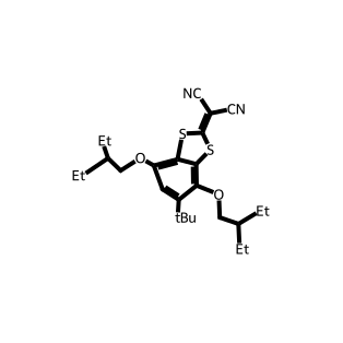 CCC(CC)COc1cc(C(C)(C)C)c(OCC(CC)CC)c2c1SC(=C(C#N)C#N)S2